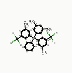 Cc1cc(C)cc([B-](c2ccccc2)(c2cc(C)cc(C(F)(F)F)c2)c2cc(C)cc(C(F)(F)F)c2)c1